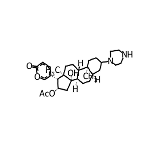 CC(=O)O[C@H]1C[C@]2(O)[C@@H]3CC[C@@H]4CC(N5CCNCC5)CC[C@]4(C)[C@H]3CC[C@]2(C)[C@H]1c1ccc(=O)oc1